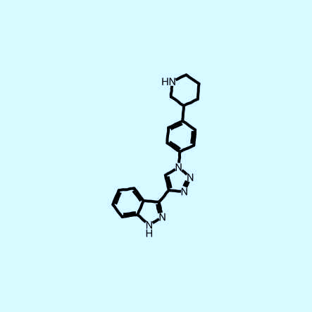 c1ccc2c(-c3cn(-c4ccc(C5CCCNC5)cc4)nn3)n[nH]c2c1